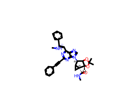 CNC(=O)[C@]12CC1[C@@H](n1cnc3c(/C=C(\NC)c4ccccc4)nc(C#Cc4ccccc4)nc31)C1OC(C)(C)O[C@@H]12